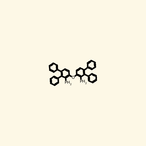 Pc1c(Oc2ccc(-c3ccccc3)c(-c3ccccc3)c2P)ccc(-c2ccccc2)c1-c1ccccc1